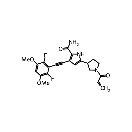 C=CC(=O)N1CCC(c2cc(C#Cc3c(F)c(OC)cc(OC)c3F)c(C(N)=O)[nH]2)C1